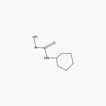 CCC[N]C(=O)NC1CCCCC1